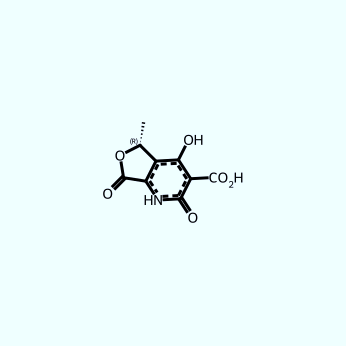 C[C@H]1OC(=O)c2[nH]c(=O)c(C(=O)O)c(O)c21